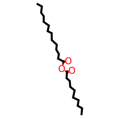 CCCCCCCCCCCCCC(=O)OC(=O)CCCCCCCCC